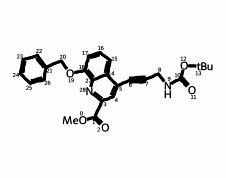 COC(=O)c1cc(C#CCNC(=O)OC(C)(C)C)c2cccc(OCc3ccccc3)c2n1